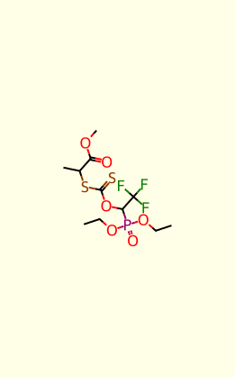 CCOP(=O)(OCC)C(OC(=S)SC(C)C(=O)OC)C(F)(F)F